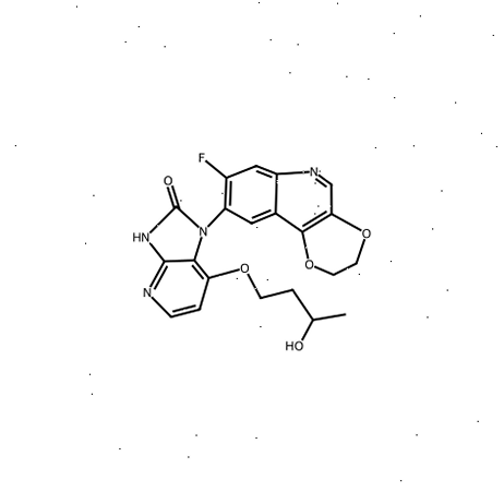 CC(O)CCOc1ccnc2[nH]c(=O)n(-c3cc4c5c(cnc4cc3F)OCCO5)c12